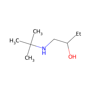 CCC(O)CNC(C)(C)C